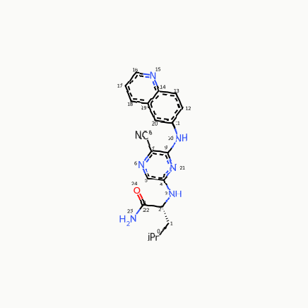 CC(C)C[C@@H](Nc1cnc(C#N)c(Nc2ccc3ncccc3c2)n1)C(N)=O